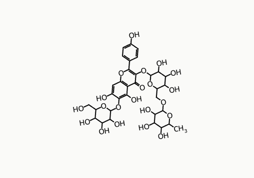 CC1OC(OCC2OC(Oc3c(-c4ccc(O)cc4)oc4cc(O)c(OC5OC(CO)C(O)C(O)C5O)c(O)c4c3=O)C(O)C(O)C2O)C(O)C(O)C1O